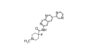 CN1CCC(F)(C(=O)Nc2cc3cc(-c4cnccn4)cnc3cn2)CC1